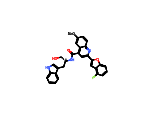 COc1ccc2nc(-c3cc4c(F)cccc4o3)cc(C(=O)N[C@@H](CO)Cc3c[nH]c4ccccc34)c2c1